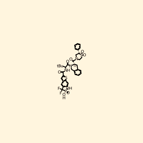 CC(C)(C)C(NC(=O)c1cc2cc(C(F)(F)P(=O)(O)O)ccc2s1)C(=O)N1Cc2ccccc2C[C@H]1C(=O)N1CCS(=O)(=O)[C@@H](c2ccccc2)C1